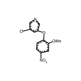 COc1cc([N+](=O)[O-])ccc1Oc1cncc(Cl)c1